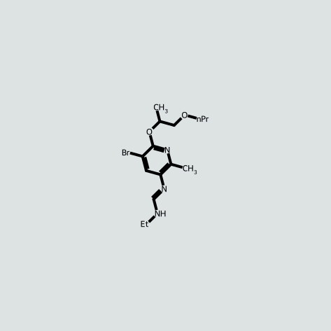 CCCOCC(C)Oc1nc(C)c(/N=C/NCC)cc1Br